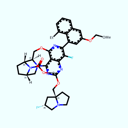 CCc1cccc2cc(OCOC)cc(-c3nc4c5c(nc(OC[C@@]67CCCN6C[C@H](F)C7)nc5c3F)N3C[C@@H]5CC[C@H]([C@H]3CO4)N5C(=O)OC(C)(C)C)c12